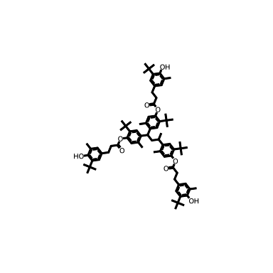 Cc1cc(OC(=O)CCc2cc(C)c(O)c(C(C)(C)C)c2)c(C(C)(C)C)cc1C(C)CC(c1cc(C(C)(C)C)c(OC(=O)CCc2cc(C)c(O)c(C(C)(C)C)c2)cc1C)c1cc(C(C)(C)C)c(OC(=O)CCc2cc(C)c(O)c(C(C)(C)C)c2)cc1C